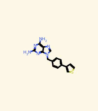 Nc1nc(N)c2ncn(Cc3ccc(-c4ccsc4)cc3)c2n1